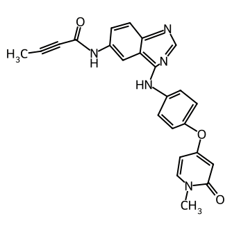 CC#CC(=O)Nc1ccc2ncnc(Nc3ccc(Oc4ccn(C)c(=O)c4)cc3)c2c1